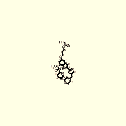 CN(c1cc(OCCCOS(C)=O)cc2cc(C3=NCC(CN4CCSCC4)S3)[nH]c12)S(=O)(=O)c1ccccn1